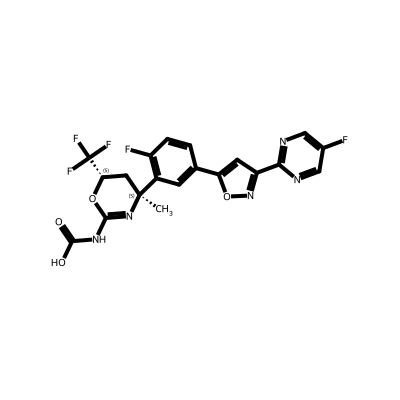 C[C@@]1(c2cc(-c3cc(-c4ncc(F)cn4)no3)ccc2F)C[C@@H](C(F)(F)F)OC(NC(=O)O)=N1